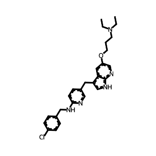 CCN(CC)CCCOc1cnc2[nH]cc(Cc3ccc(NCc4ccc(Cl)cc4)nc3)c2c1